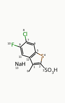 Cc1c(S(=O)(=O)O)sc2cc(Cl)c(F)cc12.[NaH]